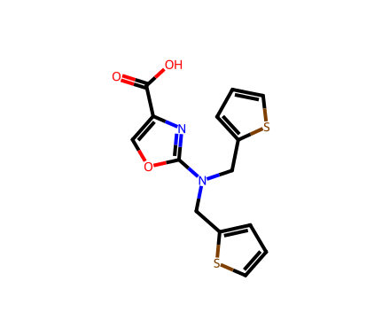 O=C(O)c1coc(N(Cc2cccs2)Cc2cccs2)n1